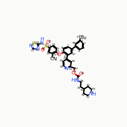 CC(C)(C)c1cccc(-c2ccc(Oc3ccc(S(=O)(=O)Nc4ncns4)cc3C#N)c(-c3ccnc(COC(=O)NCCC4CCNCC4)c3)c2)c1